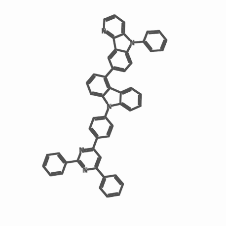 c1ccc(-c2cc(-c3ccc(-n4c5ccccc5c5c(-c6ccc7c(c6)c6ncccc6n7-c6ccccc6)cccc54)cc3)nc(-c3ccccc3)n2)cc1